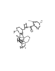 Cc1cc(Cl)cnc1C(=O)Nc1ccc(F)c([C@@]2(C)N=C(N)[C@@]3(C)CCC[C@@H]2S3(=O)=O)c1